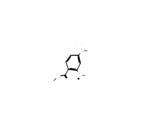 CNC(=O)c1ccc([N+](=O)[O-])cc1[N+](=O)[O-]